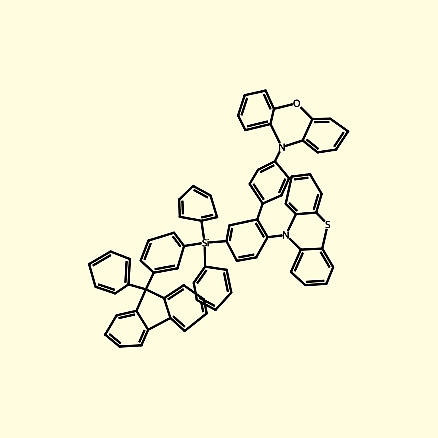 c1ccc(C2(c3cccc([Si](c4ccccc4)(c4ccccc4)c4ccc(N5c6ccccc6Sc6ccccc65)c(-c5ccc(N6c7ccccc7Oc7ccccc76)cc5)c4)c3)c3ccccc3-c3ccccc32)cc1